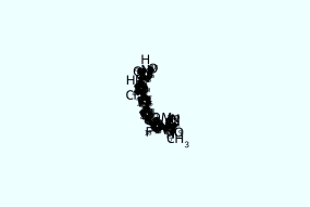 COc1cc(-c2cn(C)c(=O)c3cnccc23)cc(F)c1CN1CCC(N2CCC(c3ccc(NC4CCC(=O)NC4=O)cc3Cl)CC2)CC1